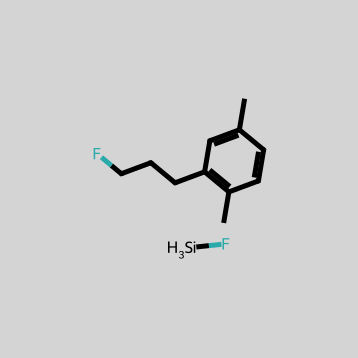 Cc1ccc(C)c(CCCF)c1.F[SiH3]